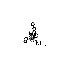 NCCCC[C@@H]1C(=O)N(Cc2cccc3ccccc23)CC[C@@H]2CN(Cc3ccc(-c4ccccc4)cc3)C(=O)N21